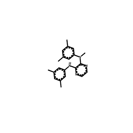 Cc1cc(C)cc(Nc2nccnc2N(C)c2cc(C)cc(C)c2)c1